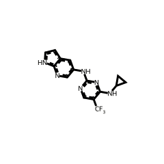 FC(F)(F)c1cnc(Nc2cnc3[nH]ccc3c2)nc1NC1CC1